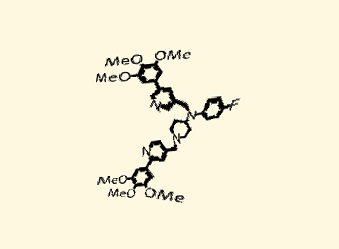 COc1cc(-c2cncc(CN(c3ccc(F)cc3)C3CCN(Cc4ccnc(-c5cc(OC)c(OC)c(OC)c5)c4)CC3)c2)cc(OC)c1OC